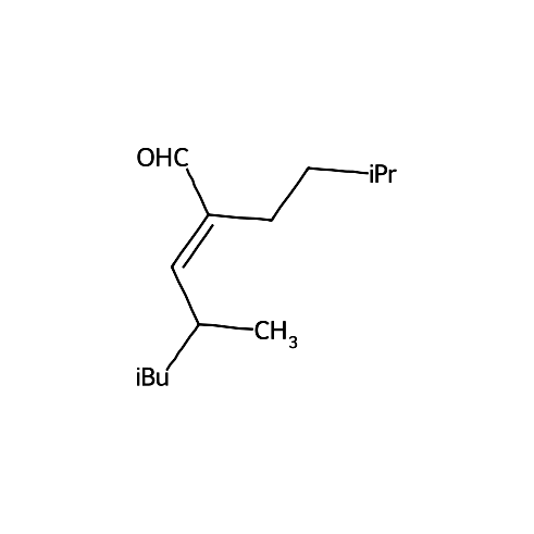 CCC(C)C(C)C=C(C=O)CCC(C)C